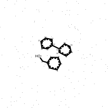 OCc1ccccc1.c1ccc(-c2ccccc2)cc1